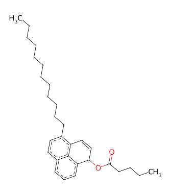 CCCCCCCCCCCCc1ccc2cccc3c2c1C=CC3OC(=O)CCCC